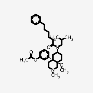 CO[C@]12CC[C@H](N(CC(C)C)C(=O)CCCCCc3ccccc3)C[C@]1(c1cccc(OC(C)=O)c1)CCN(C)C2